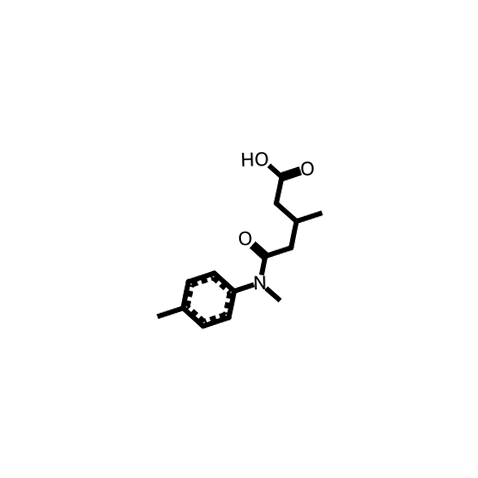 Cc1ccc(N(C)C(=O)CC(C)CC(=O)O)cc1